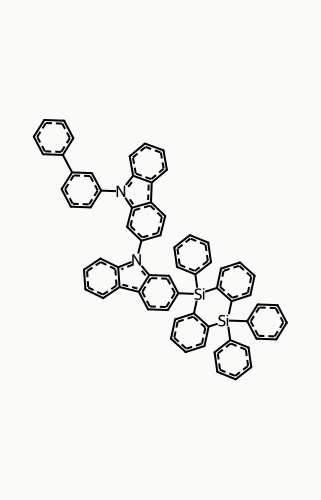 c1ccc(-c2cccc(-n3c4ccccc4c4ccc(-n5c6ccccc6c6ccc([Si]7(c8ccccc8)c8ccccc8[Si](c8ccccc8)(c8ccccc8)c8ccccc87)cc65)cc43)c2)cc1